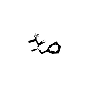 C=C(C(C)=O)C(=O)N(C)Cc1ccccc1